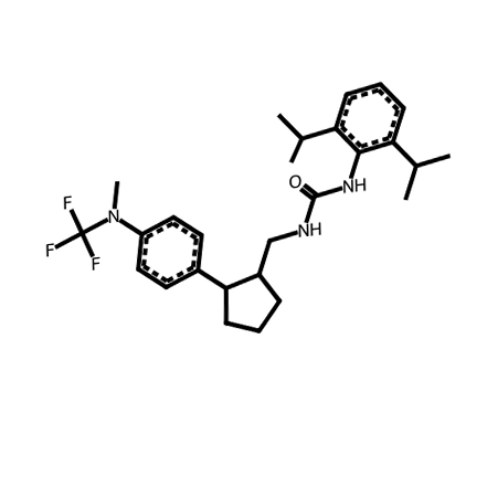 CC(C)c1cccc(C(C)C)c1NC(=O)NCC1CCCC1c1ccc(N(C)C(F)(F)F)cc1